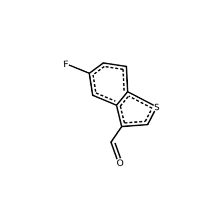 O=Cc1csc2ccc(F)cc12